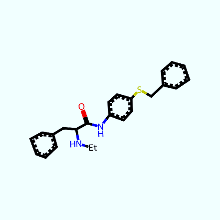 CCNC(Cc1ccccc1)C(=O)Nc1ccc(SCc2ccccc2)cc1